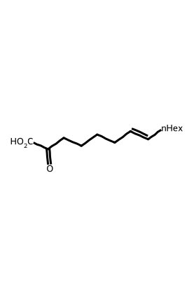 CCCCCCC=CCCCCC(=O)C(=O)O